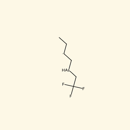 CC[CH]C[AsH]CC(F)(F)F